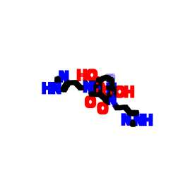 O=C(CC(=O)NCCc1c[nH]cn1)NCCc1c[nH]cn1.O=C(O)/C=C\C(=O)O